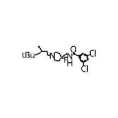 CC(CCN1CCC(F)(CNC(=O)c2cc(Cl)cc(Cl)c2)CC1)CC(C)(C)C